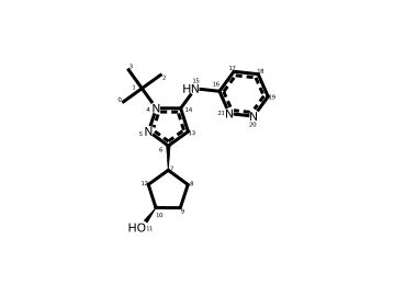 CC(C)(C)n1nc([C@H]2CC[C@@H](O)C2)cc1Nc1cccnn1